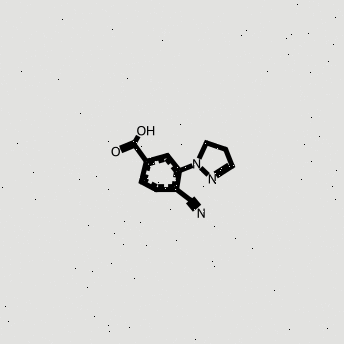 N#Cc1ccc(C(=O)O)cc1N1CCC=N1